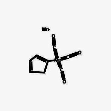 O=[C]=[Mn](=[C]=O)(=[C]=O)[C]1=CC=CC1.[Mn]